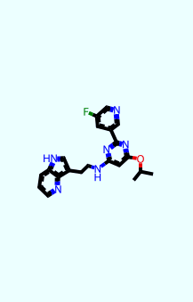 CC(C)Oc1cc(NCCc2c[nH]c3cccnc23)nc(-c2cncc(F)c2)n1